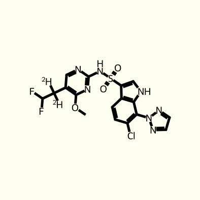 [2H]C([2H])(c1cnc(NS(=O)(=O)c2c[nH]c3c(-n4nccn4)c(Cl)ccc23)nc1OC)C(F)F